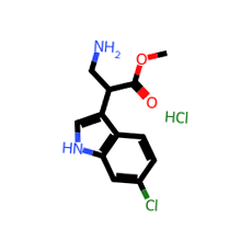 COC(=O)C(CN)c1c[nH]c2cc(Cl)ccc12.Cl